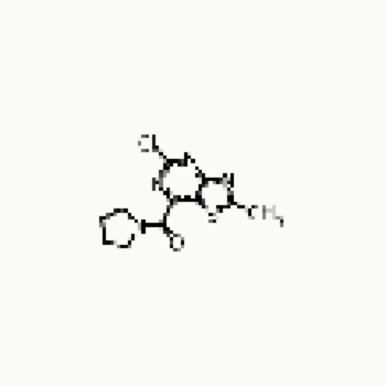 Cc1nc2nc(Cl)nc(C(=O)N3CCCC3)c2s1